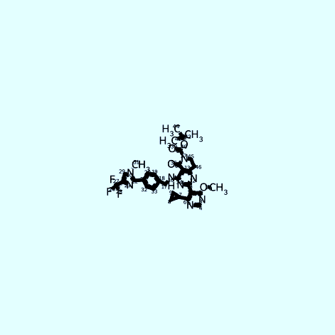 COc1ncnc(C2CC2)c1-c1nc2c(c(NCc3ccc(-c4nc(C(F)(F)F)cn4C)cc3)n1)C(=O)N(C(=O)OC(C)(C)C)CC2